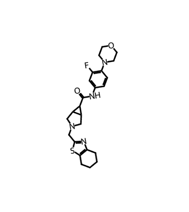 O=C(Nc1ccc(N2CCOCC2)c(F)c1)C1C2CN(Cc3nc4c(s3)CCCC4)CC21